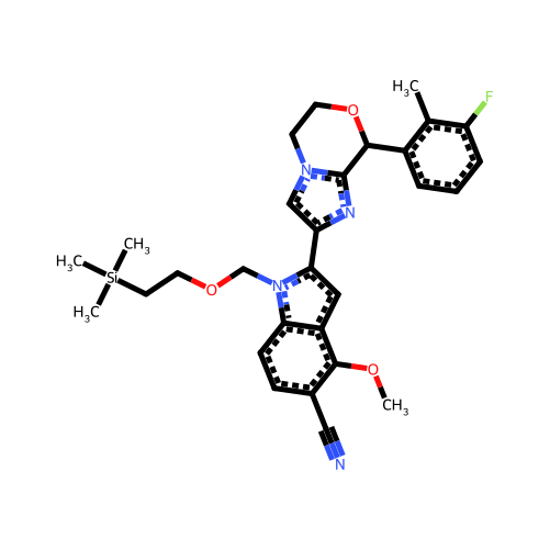 COc1c(C#N)ccc2c1cc(-c1cn3c(n1)C(c1cccc(F)c1C)OCC3)n2COCC[Si](C)(C)C